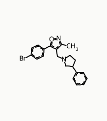 Cc1noc(-c2ccc(Br)cc2)c1CN1CCC(c2ccccc2)C1